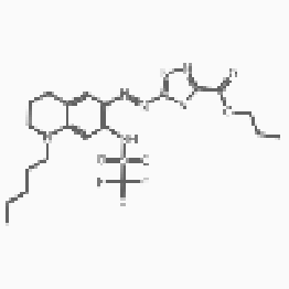 CCCCCN1CCCc2cc(N=Nc3nnc(C(=O)OCCC)s3)c(NS(=O)(=O)C(F)(F)F)cc21